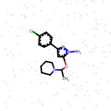 CC(Oc1cc(-c2ccc(Cl)cc2)nn1N)N1CCCCC1